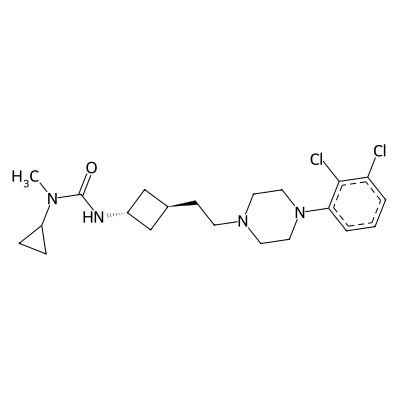 CN(C(=O)N[C@H]1C[C@H](CCN2CCN(c3cccc(Cl)c3Cl)CC2)C1)C1CC1